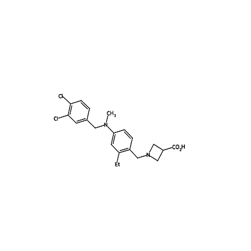 CCc1cc(N(C)Cc2ccc(Cl)c(Cl)c2)ccc1CN1CC(C(=O)O)C1